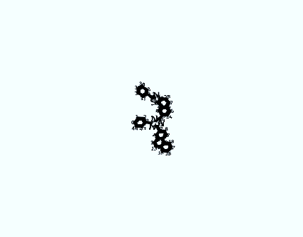 c1ccc(-c2nc(-c3ccc4c(ccc5ccccc54)c3)nc(-c3ccc4ccc5nc(-c6ccccc6)sc5c4c3)n2)cc1